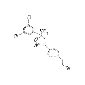 FC(F)(F)C1(c2cc(Cl)cc(Cl)c2)CC(c2ccc(CCBr)cc2)=NO1